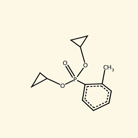 Cc1ccccc1P(=O)(OC1CC1)OC1CC1